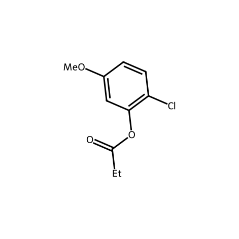 [CH2]CC(=O)Oc1cc(OC)ccc1Cl